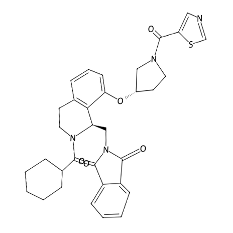 O=C(c1cncs1)N1CC[C@H](Oc2cccc3c2[C@@H](CN2C(=O)c4ccccc4C2=O)N(C(=O)C2CCCCC2)CC3)C1